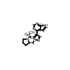 CS(=O)(=O)N1CCC[C@@H]1Cn1cc(-c2ncnc3[nH]ccc23)cn1